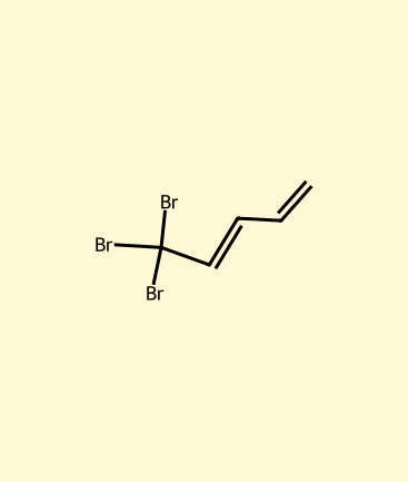 C=CC=CC(Br)(Br)Br